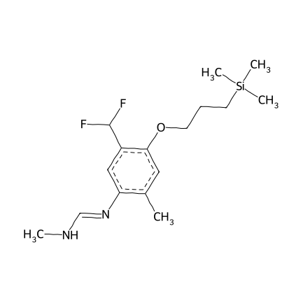 CNC=Nc1cc(C(F)F)c(OCCC[Si](C)(C)C)cc1C